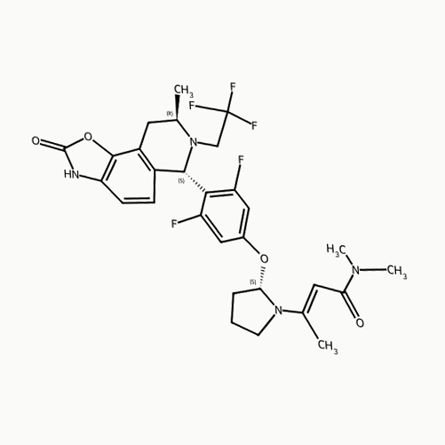 CC(=CC(=O)N(C)C)N1CCC[C@@H]1Oc1cc(F)c([C@@H]2c3ccc4[nH]c(=O)oc4c3C[C@@H](C)N2CC(F)(F)F)c(F)c1